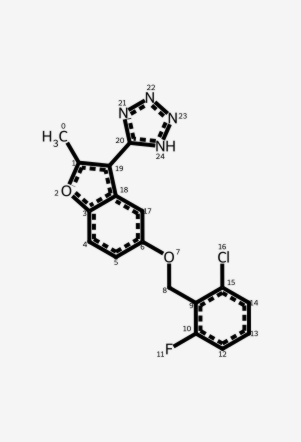 Cc1oc2ccc(OCc3c(F)cccc3Cl)cc2c1-c1nnn[nH]1